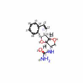 NC(=O)N[C@H]1CO[C@H]2[C@@H]1OC[C@@H]2/C=C\c1ccccc1